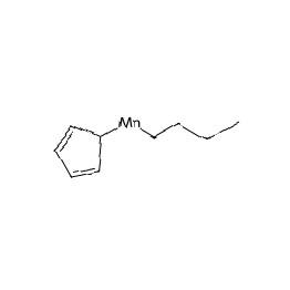 CCC[CH2][Mn][CH]1C=CC=C1